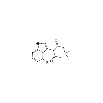 CC1(C)CC(=O)C(c2c[nH]c3cccc(F)c23)C(=O)C1